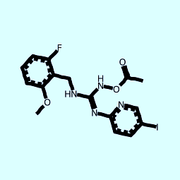 COc1cccc(F)c1CNC(=Nc1ccc(I)cn1)NOC(C)=O